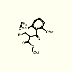 CCCCCCCCOC(=O)C(CC(C)C)C(=O)c1c(OC)cccc1OC.O=[PH3]